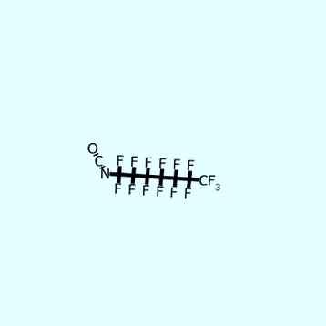 O=C=NC(F)(F)C(F)(F)C(F)(F)C(F)(F)C(F)(F)C(F)(F)C(F)(F)F